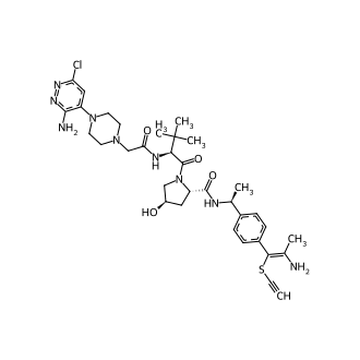 C#CS/C(=C(/C)N)c1ccc([C@H](C)NC(=O)[C@@H]2C[C@@H](O)CN2C(=O)[C@@H](NC(=O)CN2CCN(c3cc(Cl)nnc3N)CC2)C(C)(C)C)cc1